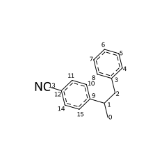 CC(Cc1ccccc1)c1ccc(C#N)cc1